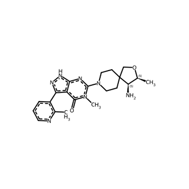 Cc1ncccc1-c1n[nH]c2nc(N3CCC4(CC3)CO[C@@H](C)[C@H]4N)n(C)c(=O)c12